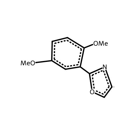 COc1ccc(OC)c(-c2n[c]co2)c1